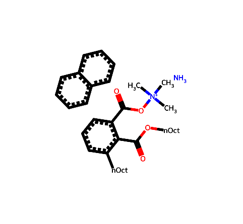 CCCCCCCCOC(=O)c1c(CCCCCCCC)cccc1C(=O)O[N+](C)(C)C.N.c1ccc2ccccc2c1